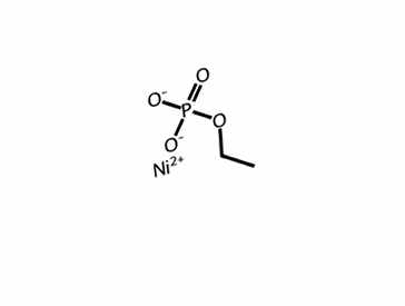 CCOP(=O)([O-])[O-].[Ni+2]